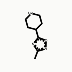 Cc1noc(C2CCNCC2)n1